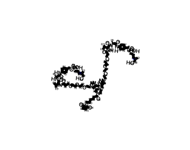 C/C(=C\CCP(=O)(O)OCc1ccc(NC(=O)[C@H](C)NC(=O)[C@@H](NC(=O)CCOCCOCCOCCn2cc(C[N+]3(Cc4cn(CCOCCOCCOCCC(=O)N[C@H](C(=O)N[C@@H](C)C(=O)Nc5ccc(COP(=O)(O)CC/C=C(\C)CO)cc5)C(C)C)nn4)CCN(C(=O)CCCCCN4C(=O)C=CC4=O)CC3)nn2)C(C)C)cc1)CO